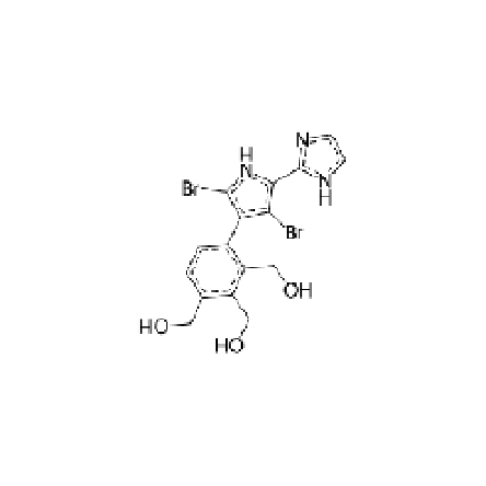 OCc1ccc(-c2c(Br)[nH]c(-c3ncc[nH]3)c2Br)c(CO)c1CO